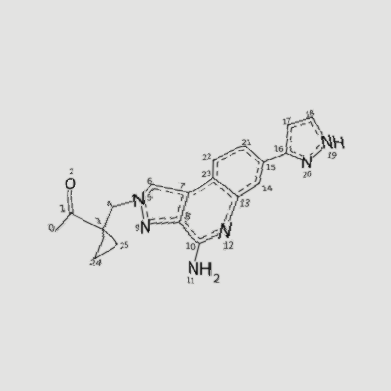 CC(=O)C1(Cn2cc3c(n2)c(N)nc2cc(-c4cc[nH]n4)ccc23)CC1